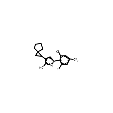 N#Cc1nn(-c2c(Cl)cc(C(F)(F)F)cc2Cl)cc1C1CC12CCCC2